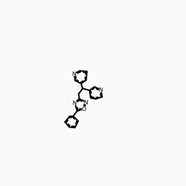 c1ccc(-c2nc(CC(c3cccnc3)c3cccnc3)no2)cc1